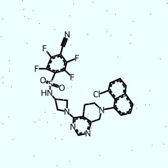 N#Cc1c(F)c(F)c(S(=O)(=O)NC2CN(c3ncnc4c3CCN(c3cccc5cccc(Cl)c35)C4)C2)c(F)c1F